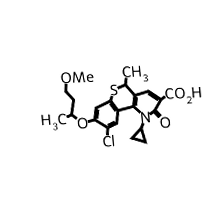 COCCC(C)Oc1cc2c(cc1Cl)-c1c(cc(C(=O)O)c(=O)n1C1CC1)C(C)S2